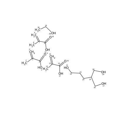 C=C(C)C(=O)O.C=C(C)C(=O)O.C=C(C)C(=O)O.CCO.OCCCC(CO)CO